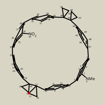 CNc1cc2ccc1-c1ccc(cc1)C1(CC1)C1(CC1)c1ccc(cc1)-c1ccc(c([N+](=O)[O-])c1)-c1ccc(cc1)C1(CC1)C1(CC1)c1ccc-2cc1